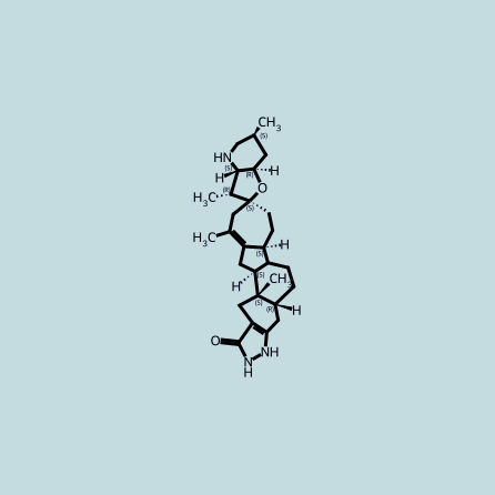 CC1=C2C[C@H]3C(CC[C@@H]4Cc5[nH][nH]c(=O)c5C[C@@]43C)[C@@H]2CC[C@@]2(C1)O[C@@H]1C[C@H](C)CN[C@H]1[C@H]2C